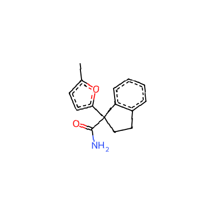 Cc1ccc(C2(C(N)=O)CCc3ccccc32)o1